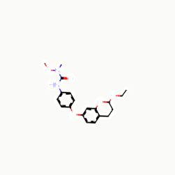 CCOC1CCc2ccc(Oc3ccc(NC(=O)N(C)OC)cc3)cc2O1